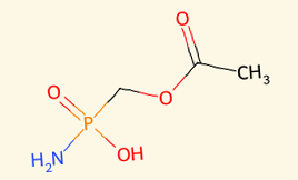 CC(=O)OCP(N)(=O)O